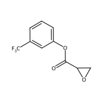 O=C(Oc1cccc(C(F)(F)F)c1)C1CO1